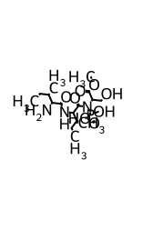 CCC(C)C(N)C(=O)NC(C(=O)N(C(CO)C(=O)OC)P(=O)(O)O)C(C)CC